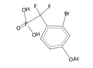 CC(=O)Oc1ccc(C(F)(F)P(=O)(O)O)c(Br)c1